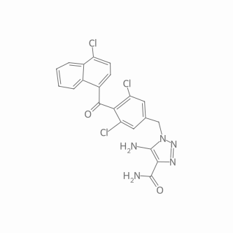 NC(=O)c1nnn(Cc2cc(Cl)c(C(=O)c3ccc(Cl)c4ccccc34)c(Cl)c2)c1N